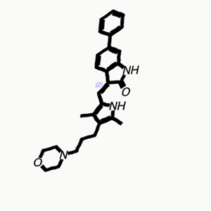 Cc1[nH]c(/C=C2\C(=O)Nc3cc(-c4ccccc4)ccc32)c(C)c1CCCN1CCOCC1